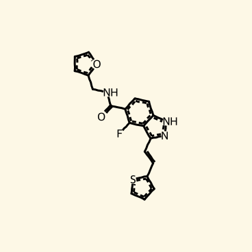 O=C(NCc1ccco1)c1ccc2[nH]nc(/C=C/c3cccs3)c2c1F